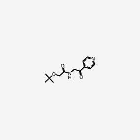 CC(C)(C)OCC(=O)NCC(=O)c1ccncc1